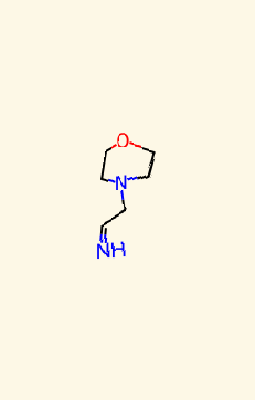 N=CCN1CCOCC1